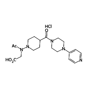 CC(=O)N(CC(=O)O)N1CCC(C(=O)N2CCN(c3ccncc3)CC2)CC1.Cl